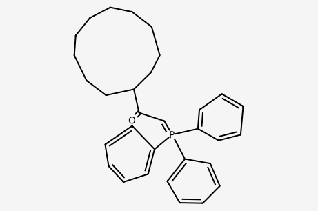 O=C(C=P(c1ccccc1)(c1ccccc1)c1ccccc1)C1CCCCCCCCCC1